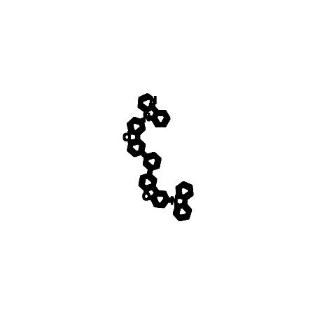 c1cc(-c2ccc3oc4ccc(-n5c6ccccc6c6ccccc65)cc4c3c2)cc(-c2ccc3oc4ccc(-n5c6ccccc6c6ncccc65)cc4c3c2)c1